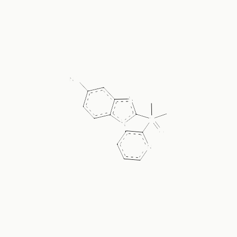 CS(C)(=O)(c1ccccn1)c1nc2cc(C#N)ccc2[nH]1